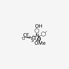 COC(=O)c1sc(C#CC2(C(F)(F)F)CCC2)cc1N(C(=O)C1CCC(C)CC1)C1CCC(O)CC1